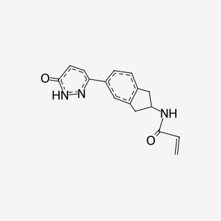 C=CC(=O)NC1Cc2ccc(-c3ccc(=O)[nH]n3)cc2C1